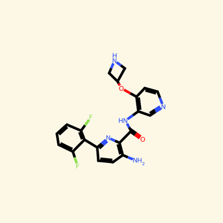 Nc1ccc(-c2c(F)cccc2F)nc1C(=O)Nc1cnccc1OC1CNC1